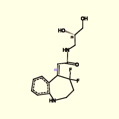 O=C(/C=C1/c2ccccc2NCCC1(F)F)NC[C@H](O)CO